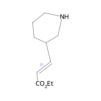 CCOC(=O)/C=C/C1CCCNC1